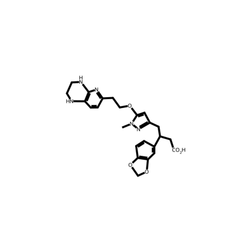 Cn1nc(CC(CC(=O)O)c2ccc3c(c2)OCO3)cc1OCCc1ccc2c(n1)NCCN2